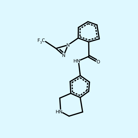 O=C(Nc1ccc2c(c1)CNCC2)c1ccccc1N1N=C1C(F)(F)F